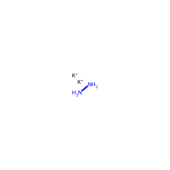 NN.[K+].[K+]